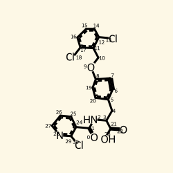 O=C(NC(Cc1c#cc(OCc2c(Cl)cccc2Cl)cc1)C(=O)O)c1cccnc1Cl